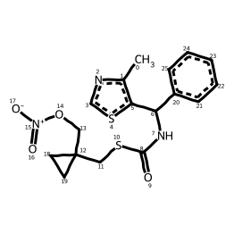 Cc1ncsc1C(NC(=O)SCC1(CO[N+](=O)[O-])CC1)c1ccccc1